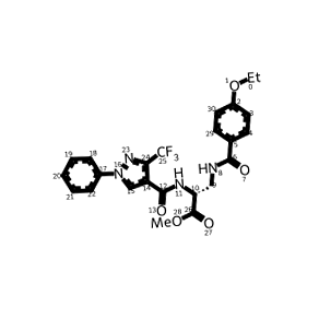 CCOc1ccc(C(=O)NC[C@@H](NC(=O)c2cn(-c3ccccc3)nc2C(F)(F)F)C(=O)OC)cc1